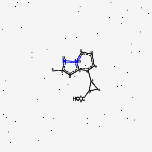 Cc1cc2c(C3CC3C(=O)O)cccn2n1